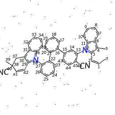 C/C=C\c1c(C)c2ccccc2n1-c1cc(-c2ccccc2-c2ccccc2-n2c3c(c4ccccc42)CC(C)(C#N)C=C3)ccc1C#N